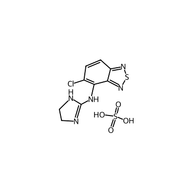 Clc1ccc2nsnc2c1NC1=NCCN1.O=S(=O)(O)O